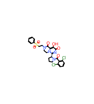 O=C1c2c(O)c(=O)nc([C@@H]3CCCN3C(=O)c3c(Cl)cccc3Cl)n2CCN1CCS(=O)(=O)c1ccccc1